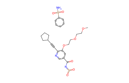 COCCOCCOc1cc(C(=O)N=S(=O)=O)cnc1C#CC1CCCC1.NS(=O)(=O)c1ccccc1